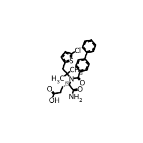 CC(C)(Cc1ccc(Cl)s1)N(C(=O)c1ccc(-c2ccccc2)cc1)[C@@H](CCC(=O)O)C(N)=O